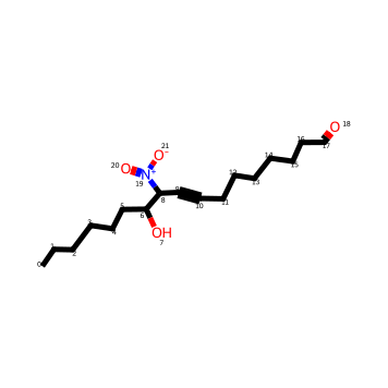 CCCCCCC(O)C(C#CCCCCCCC=O)[N+](=O)[O-]